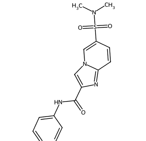 CN(C)S(=O)(=O)c1ccc2nc(C(=O)Nc3ccccc3)cn2c1